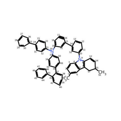 Cc1ccc2c(c1)c1c(n2-c2cccc(-c3c#ccc(N(c4ccc(-c5ccccc5)cc4)c4ccc(-c5ccccc5-c5ccccc5)cc4)c3)c2)C=CC(C)C1